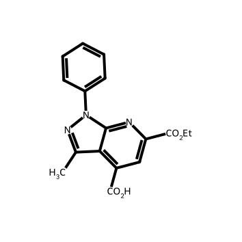 CCOC(=O)c1cc(C(=O)O)c2c(C)nn(-c3ccccc3)c2n1